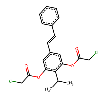 CC(C)c1c(OC(=O)CCl)cc(C=Cc2ccccc2)cc1OC(=O)CCl